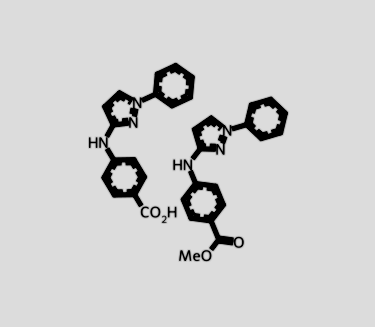 COC(=O)c1ccc(Nc2ccn(-c3ccccc3)n2)cc1.O=C(O)c1ccc(Nc2ccn(-c3ccccc3)n2)cc1